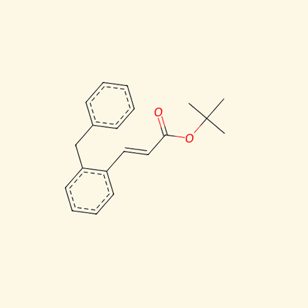 CC(C)(C)OC(=O)C=Cc1ccccc1Cc1ccccc1